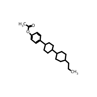 CCCC1CCC(C2CCC(c3ccc(OC(C)=O)cc3)CC2)CC1